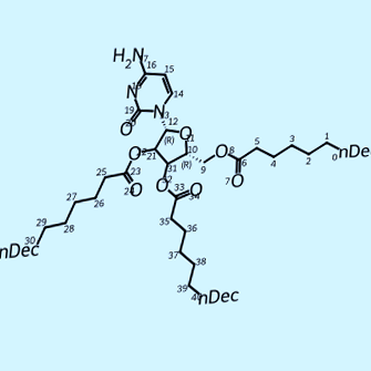 CCCCCCCCCCCCCCCC(=O)OC[C@H]1O[C@@H](n2ccc(N)nc2=O)C(OC(=O)CCCCCCCCCCCCCCC)C1OC(=O)CCCCCCCCCCCCCCC